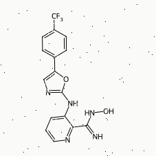 N=C(NO)c1ncccc1Nc1ncc(-c2ccc(C(F)(F)F)cc2)o1